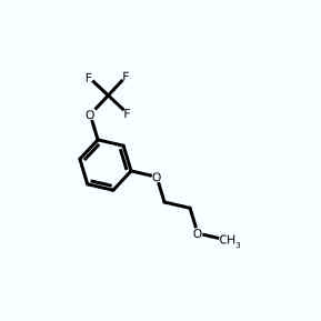 COCCOc1cccc(OC(F)(F)F)c1